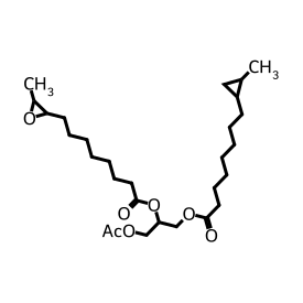 CC(=O)OCC(COC(=O)CCCCCCCC1CC1C)OC(=O)CCCCCCCC1OC1C